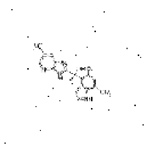 CCc1cc(C)c2[nH]ccc2c1C(O)(F)c1nc2cc(C#N)cnc2[nH]1